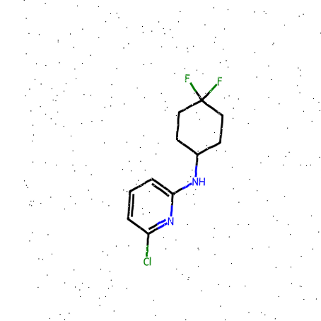 FC1(F)CCC(Nc2c[c]cc(Cl)n2)CC1